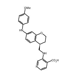 COc1ccc(Nc2ccc3c(c2)OCC[C@H]3CNc2cnccc2C(=O)O)cc1